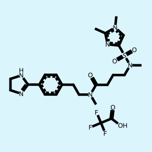 Cc1nc(S(=O)(=O)N(C)CCCC(=O)N(C)CCc2ccc(C3=NCCN3)cc2)cn1C.O=C(O)C(F)(F)F